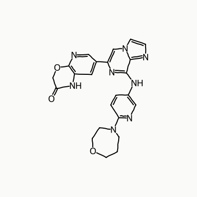 O=C1COc2ncc(-c3cn4ccnc4c(Nc4ccc(N5CCCOCC5)nc4)n3)cc2N1